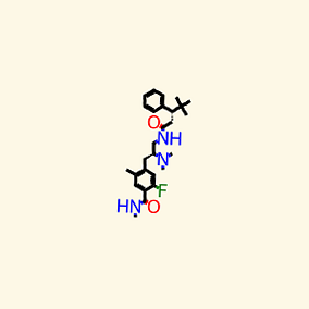 CNC(=O)c1cc(C)c(C[C@@H](CNC(=O)C[C@H](c2ccccc2)C(C)(C)C)N(C)C)cc1F